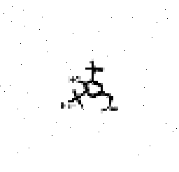 CN(C)Cc1cc(C(C)(C)C)c(O)c(C(C)(C)C)c1.[NaH]